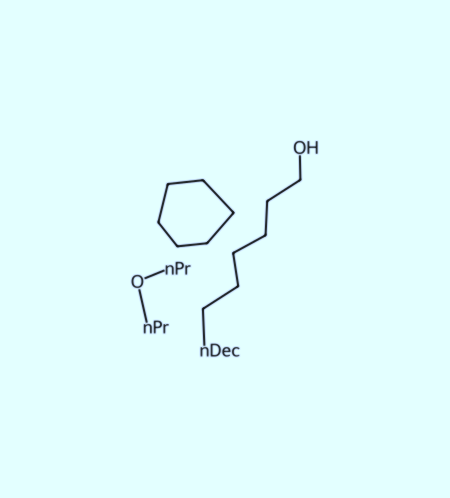 C1CCCCC1.CCCCCCCCCCCCCCCCO.CCCOCCC